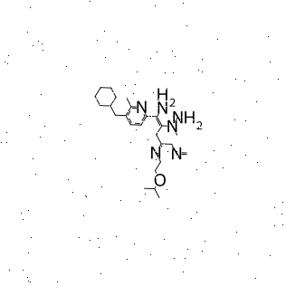 C=NC/C(C/C(=C(/N)c1ccc(CC2CCCCC2)c(C)n1)N(C)N)=N\CCOC(C)C